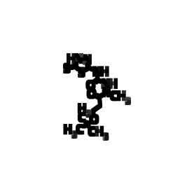 CN(NC(=O)Nc1n[nH]c(=S)s1)C(=O)CCOC(C)(C)C